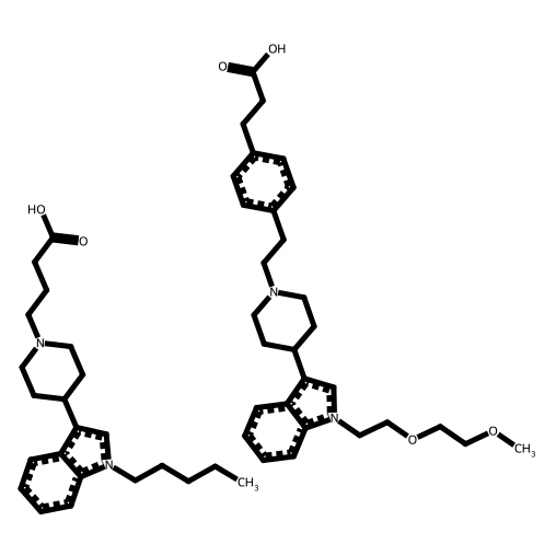 CCCCCn1cc(C2CCN(CCCC(=O)O)CC2)c2ccccc21.COCCOCCn1cc(C2CCN(CCc3ccc(CCC(=O)O)cc3)CC2)c2ccccc21